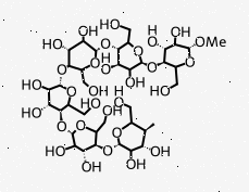 CO[C@@H]1OC(CO)[C@@H](O[C@@H]2OC(CO)[C@@H](O[C@@H]3OC(CO)[C@@H](O[C@@H]4OC(CO)[C@@H](O[C@@H]5OC(CO)[C@@H](O[C@@H]6OC(CO)[C@@H](C)[C@H](O)C6O)[C@H](O)C5O)[C@H](O)C4O)[C@H](O)C3O)[C@H](O)C2O)[C@H](O)C1O